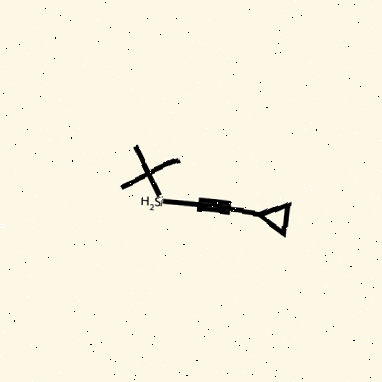 CC(C)(C)[SiH2]C#CC1CC1